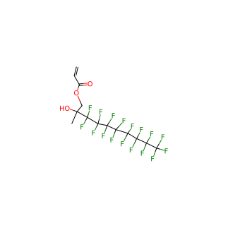 C=CC(=O)OCC(C)(O)C(F)(F)C(F)(F)C(F)(F)C(F)(F)C(F)(F)C(F)(F)C(F)(F)C(F)(F)F